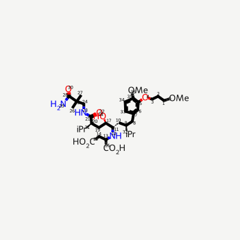 COCCCOc1cc(C[C@H](C[C@H](NC(CC(=O)O)C(=O)O)[C@H](O)C[C@H](C(=O)NCC(C)(C)C(N)=O)C(C)C)C(C)C)ccc1OC